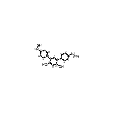 N=Nc1ccc(-c2cc(-c3ccc(N=N)cc3)c(O)cc2O)cc1